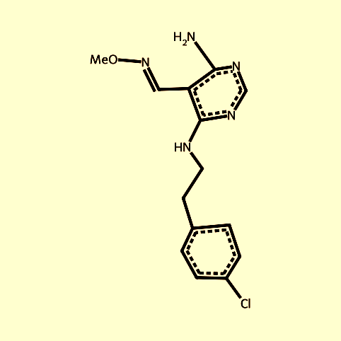 CON=Cc1c(N)ncnc1NCCc1ccc(Cl)cc1